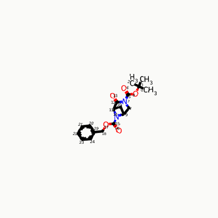 CC(C)(C)OC(=O)N1CC2CC(C1=O)N2C(=O)OCc1ccccc1